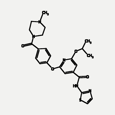 CC(C)Oc1cc(C(=O)Nc2nccs2)cc(Oc2ccc(C(=O)N3CCN(C)CC3)cc2)n1